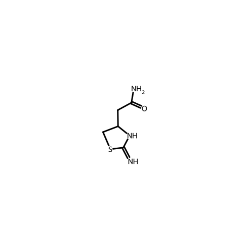 N=C1NC(CC(N)=O)CS1